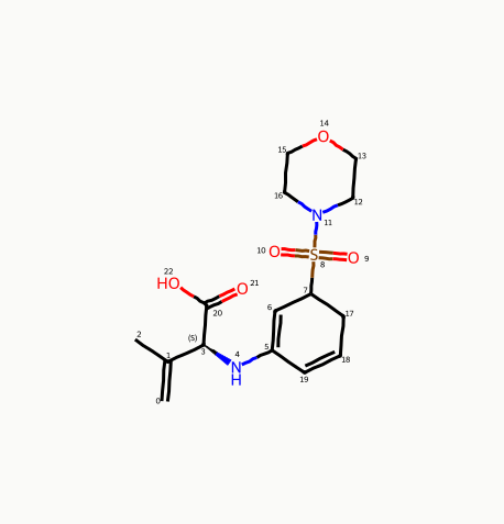 C=C(C)[C@H](NC1=CC(S(=O)(=O)N2CCOCC2)CC=C1)C(=O)O